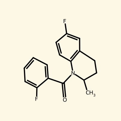 CC1CCc2cc(F)ccc2N1C(=O)c1ccccc1F